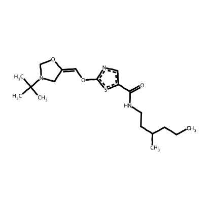 CCCC(C)CCNC(=O)c1cnc(OC=C2CN(C(C)(C)C)CO2)s1